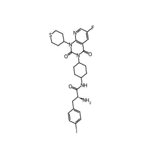 N[C@@H](Cc1ccc(I)cc1)C(=O)NC1CCC(n2c(=O)c3cc(F)cnc3n(C3CCSCC3)c2=O)CC1